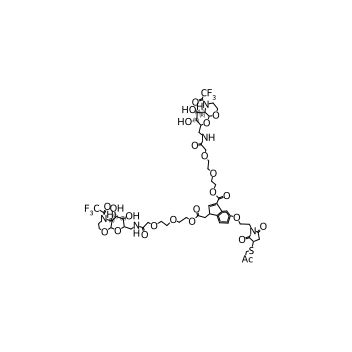 CC(=O)CSC1CC(=O)N(CCOc2ccc3c(c2)C(C(=O)OCCOCCOCC(=O)NCC2OC4OCCN(C(=O)C(F)(F)F)[C@@H]4[C@@H](O)[C@H]2O)=CC3CC(=O)OCCOCCOCC(=O)NCC2OC3OCCN(C(=O)C(F)(F)F)[C@@H]3[C@@H](O)[C@H]2O)C1=O